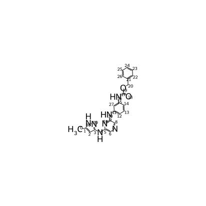 Cc1cc(Nc2cncc(Nc3cccc(NC(=O)OCc4ccccc4)c3)n2)n[nH]1